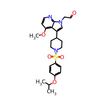 COc1ccnc2c1c(C1CCN(S(=O)(=O)c3ccc(OC(C)C)cc3)CC1)cn2CC=O